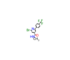 CNC(=O)c1cc(Br)nc(-c2ccc(C(F)(F)F)cc2)c1